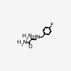 NC(=O)/C(N)=C/NCc1ccc(F)cc1